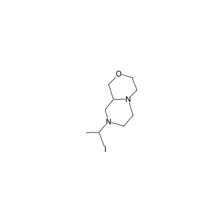 CC(I)N1CCN2CCOCC2C1